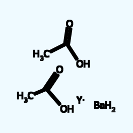 CC(=O)O.CC(=O)O.[BaH2].[Y]